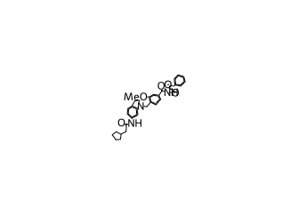 COc1cc(C(=O)NS(=O)(=O)c2ccccc2)ccc1CN1CCc2ccc(NC(=O)CC3CCCC3)cc21